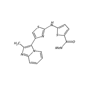 CNC(=O)c1ccc(Nc2nc(-c3c(C)nc4ccccn34)cs2)s1